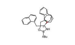 CCCCB1N[C@H](C2CCCCC2)C(Cc2cccc3ccccc23)(Cc2cccc3ccccc23)O1